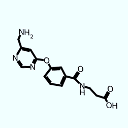 NCc1cc(Oc2cccc(C(=O)NCCC(=O)O)c2)ncn1